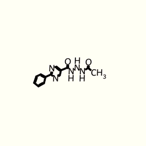 CC(=O)NNNC(=O)c1cnc(-c2ccccc2)nc1